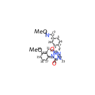 CON=C(C)c1ccc(C)c(OCc2c(OC)cccc2-n2nnn(C)c2=O)c1